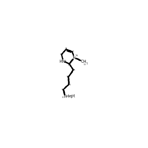 CCCCCCCCCCCC1NCC=CN1C